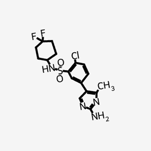 Cc1nc(N)ncc1-c1ccc(Cl)c(S(=O)(=O)NC2CCC(F)(F)CC2)c1